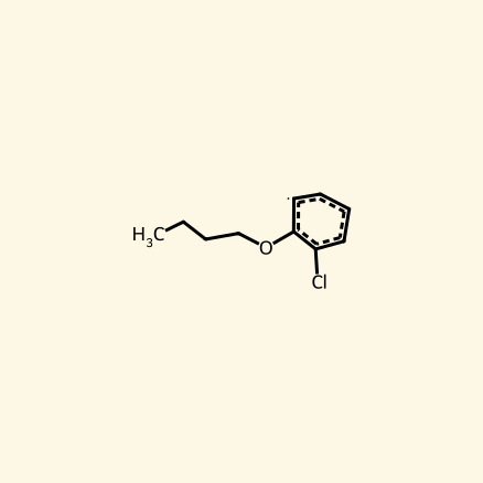 CCCCOc1[c]cccc1Cl